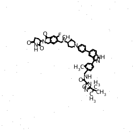 Cc1cc(-c2n[nH]c3ccc(-c4ccc(N5CCC(N(C)Cc6cc7c(cc6F)C(=O)N(C6CCC(=O)NC6=O)C7)CC5)cc4)cc23)ccc1CNC(=O)c1nc(C(C)(C)C)no1